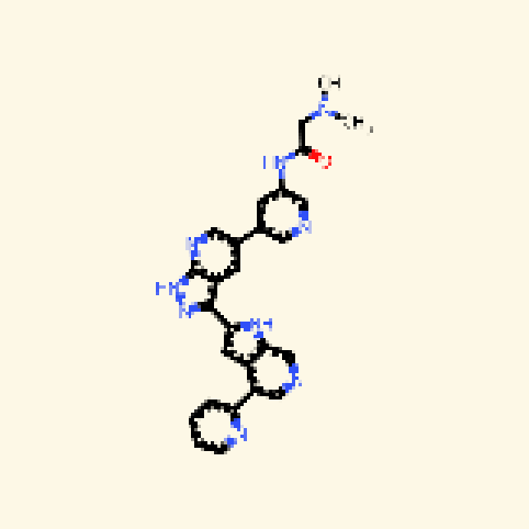 CN(C)CC(=O)Nc1cncc(-c2cnc3[nH]nc(-c4cc5c(-c6ccccn6)cncc5[nH]4)c3c2)c1